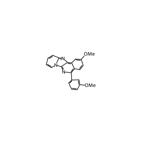 COc1cccc(-c2nc3c(nc4ccccn43)c3cc(OC)ccc23)c1